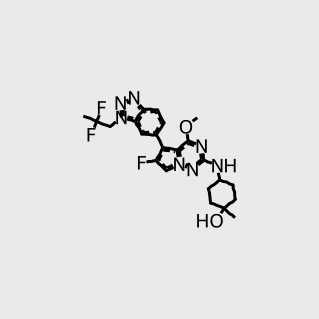 COc1nc(NC2CCC(C)(O)CC2)nn2cc(F)c(-c3ccc4nnn(CC(C)(F)F)c4c3)c12